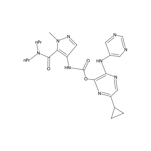 CCCN(CCC)C(=O)c1c(NC(=O)Oc2nc(C3CC3)cnc2Nc2cncnc2)cnn1C